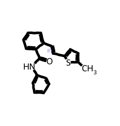 Cc1ccc(/C=C/c2ccccc2C(=O)Nc2ccccc2)s1